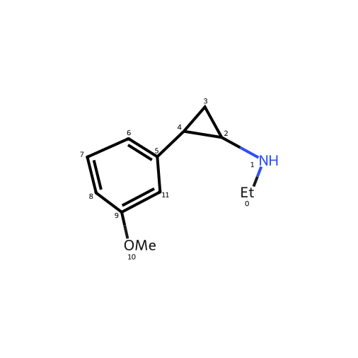 CCNC1CC1c1cccc(OC)c1